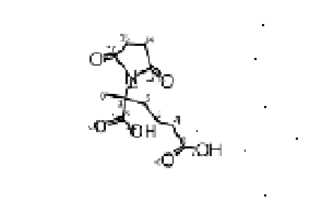 CC(CCCC(=O)O)(C(=O)O)N1C(=O)CCC1=O